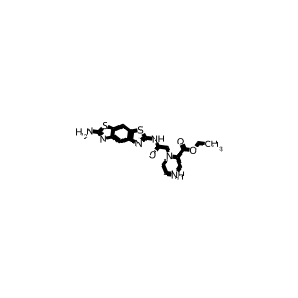 CCOC(=O)C1CNCCN1CC(=O)Nc1nc2cc3nc(N)sc3cc2s1